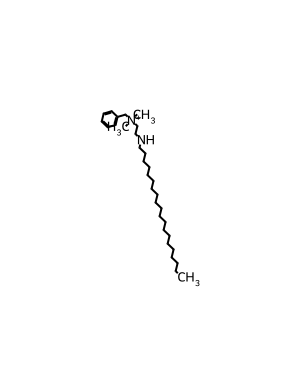 CCCCCCCCCCCCCCCCCCCCNCC[N+](C)(C)Cc1ccccc1